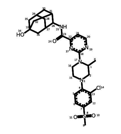 CC1CN(c2ccc(S(C)(=O)=O)cc2Cl)CCN1c1nccc(C(=O)NC2C3CC4CC2CC(O)(C4)C3)n1